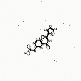 COC(=O)Cc1ccc2oc(-c3ccco3)cc(=O)c2c1